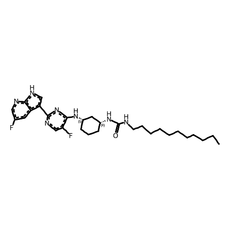 CCCCCCCCCCCNC(=O)N[C@@H]1CCC[C@H](Nc2nc(-c3c[nH]c4ncc(F)cc34)ncc2F)C1